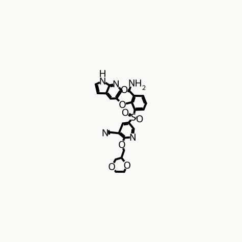 N#Cc1cc(S(=O)(=O)c2cccc(C(N)=O)c2Oc2cnc3[nH]ccc3c2)cnc1OCC1COCCO1